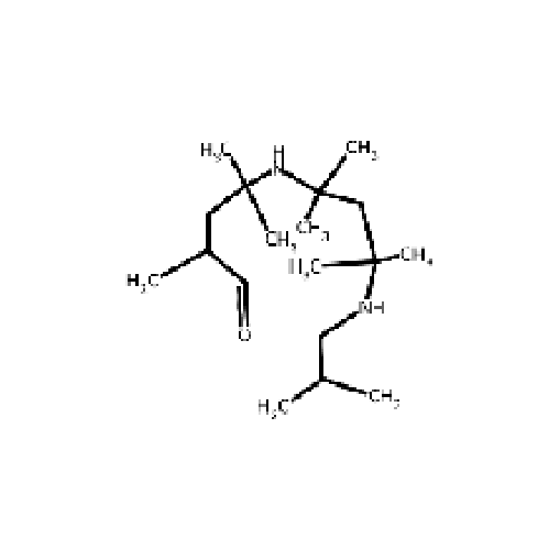 CC(C)CNC(C)(C)CC(C)(C)NC(C)(C)CC(C)C=O